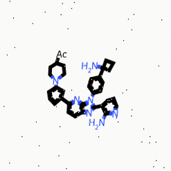 CC(=O)C1CCN(c2cccc(-c3ccc4nc(-c5cccnc5N)n(-c5ccc(C6(N)CCC6)cc5)c4n3)c2)CC1